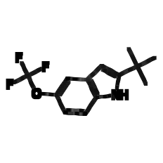 CC(C)(C)c1cc2cc(OC(F)(F)F)ccc2[nH]1